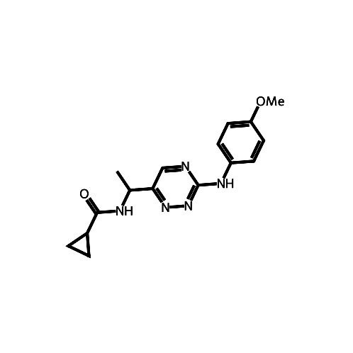 COc1ccc(Nc2ncc(C(C)NC(=O)C3CC3)nn2)cc1